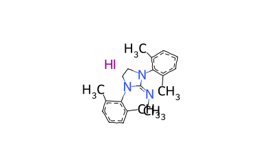 CN=C1N(c2c(C)cccc2C)CCN1c1c(C)cccc1C.I